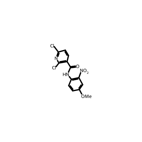 COc1ccc(NC(=O)c2ccc(Cl)nc2Cl)c([N+](=O)[O-])c1